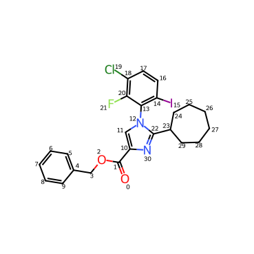 O=C(OCc1ccccc1)c1cn(-c2c(I)ccc(Cl)c2F)c(C2CCCCCC2)n1